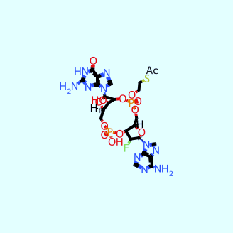 CC(=O)SCCOP1(=O)OC[C@H]2O[C@@H](n3cnc4c(N)ncnc43)C(F)C2OP(=O)(O)OC[C@H]2O[C@@H](n3cnc4c(=O)[nH]c(N)nc43)C(O1)C2O